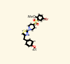 CCOc1ccc(Cc2csc(N3CCC(S(=O)(=O)c4cc(Br)ccc4OC)CC3)n2)cc1